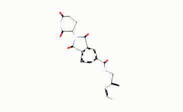 C=C(/C=C\C)CNC(=O)c1ccc2c(c1)C(=O)N(C1CCC(=O)NC1=O)C2=O